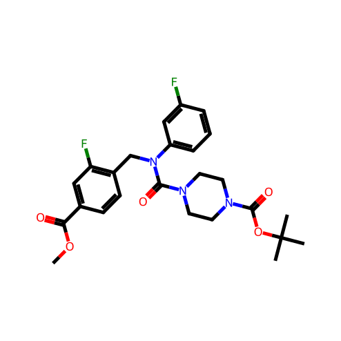 COC(=O)c1ccc(CN(C(=O)N2CCN(C(=O)OC(C)(C)C)CC2)c2cccc(F)c2)c(F)c1